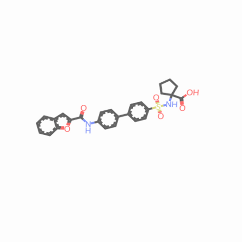 O=C(Nc1ccc(-c2ccc(S(=O)(=O)NC3(C(=O)O)CCCC3)cc2)cc1)c1cc2ccccc2o1